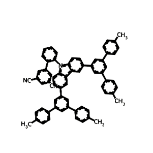 Cc1ccc(-c2cc(-c3ccc(C)cc3)cc(-c3ccc4c(c3)c3cc(-c5cc(-c6ccc(C)cc6)cc(-c6ccc(C)cc6)c5)ccc3n4-c3ccccc3-c3cc(C#N)cc(C#N)c3)c2)cc1